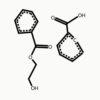 O=C(O)c1ccccc1.O=C(OCCO)c1ccccc1